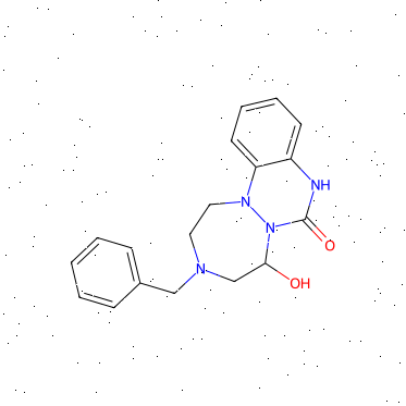 O=C1Nc2ccccc2N2CCN(Cc3ccccc3)CC(O)N12